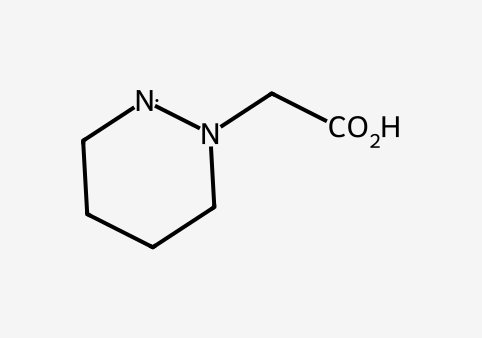 O=C(O)CN1CCCC[N]1